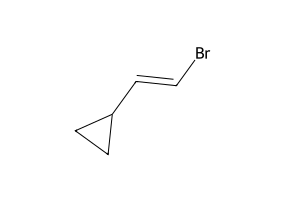 BrC=CC1CC1